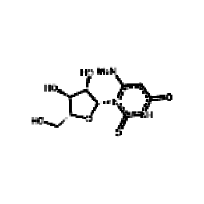 CNc1cc(=O)[nH]c(=O)n1[C@@H]1O[C@H](CO)[C@@H](O)[C@H]1O